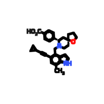 Cc1cc(C#CC2CC2)c(CN2CC[C@@]3(CCCO3)C[C@H]2c2ccc(C(=O)O)cc2)c2cc[nH]c12